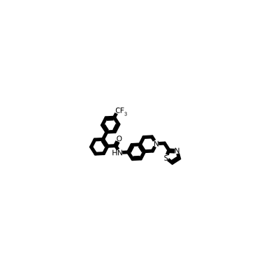 O=C(Nc1ccc2c(c1)CCN(Cc1nccs1)C2)C1=C(c2ccc(C(F)(F)F)cc2)CCCC1